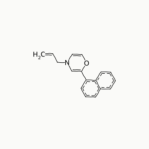 C=CCN1C=COC(c2cccc3ccccc23)=C1